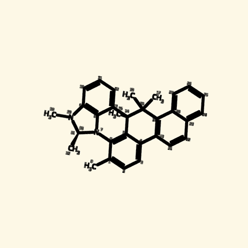 Cc1ccc2c3c1N1c4c(cccc4C3(C)C(C)(C)c3c-2ccc2ccccc32)N(C)[C@@H]1C